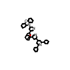 c1ccc(-c2cc(-c3cncc(C45CC6CC(C4)CC(c4cncc(N7c8ccccc8Oc8ccccc87)c4)(C6)C5)c3)cc(-c3ccccc3)n2)cc1